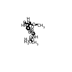 CCCOC(=O)c1c[nH]c2c(=O)[nH]c3ccc(S(=O)(=O)N4CC[C@H](NC(=O)OC(C)(C)C)C4)cc3c12